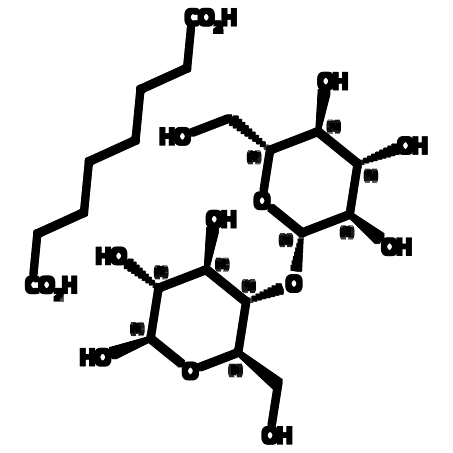 O=C(O)CCCCCCC(=O)O.OC[C@H]1O[C@@H](O[C@H]2[C@H](O)[C@@H](O)[C@H](O)O[C@@H]2CO)[C@H](O)[C@@H](O)[C@@H]1O